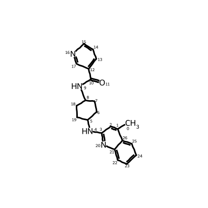 Cc1cc(NC2CCC(NC(=O)c3cccnc3)CC2)nc2ccccc12